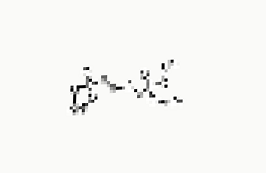 CCCOP(=O)(OCCC)SSSSP(=O)(OCCC)OCCC